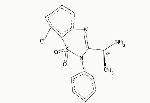 C[C@H](N)C1=Nc2cccc(Cl)c2S(=O)(=O)N1c1ccccc1